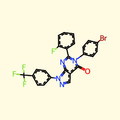 O=c1c2cnn(-c3ccc(C(F)(F)F)cc3)c2nc(-c2ccccc2F)n1-c1ccc(Br)cc1